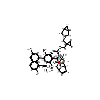 C#Cc1c(F)ccc2cc(O)cc(-c3nc(OC)c4c(N5CC6C=CC(C5)N6C(=O)C(F)(F)F)nc(OCC5(CN6CC7CC7C6)CC5)nc4c3F)c12